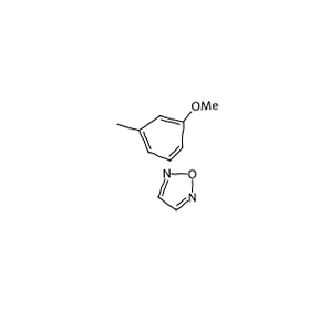 COc1cccc(C)c1.c1cnon1